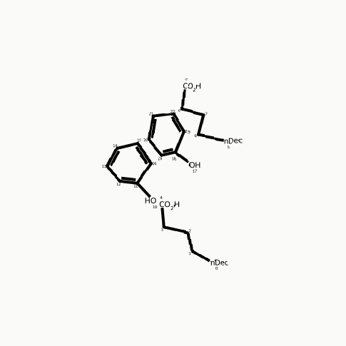 CCCCCCCCCCCCCC(=O)O.CCCCCCCCCCCCCC(=O)O.Oc1ccccc1.Oc1ccccc1